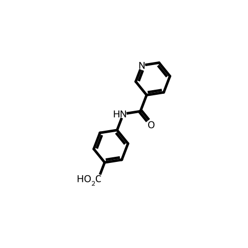 O=C(O)c1ccc(NC(=O)c2cccnc2)cc1